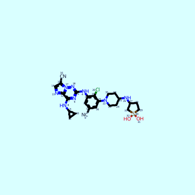 N#Cc1cc(Nc2nc(NC3CC3)c3ncc(C#N)n3n2)c(Cl)c(N2CCC(NC3CCS(O)(O)C3)CC2)c1